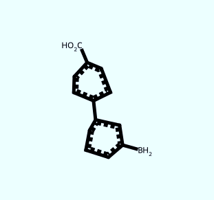 Bc1cccc(-c2ccc(C(=O)O)cc2)c1